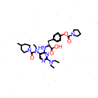 CCN(CC)c1ncc(N(CC)C(=O)N2CCC(C)CC2)c(N[C@@H](Cc2ccc(OC(=O)N3CCCC3)cc2)C(=O)O)n1